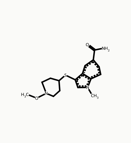 CON1CCC(Sc2cn(C)c3ccc(C(N)=O)cc23)CC1